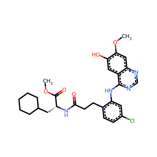 COC(=O)[C@@H](CC1CCCCC1)NC(=O)CCc1ccc(Cl)cc1Nc1ncnc2cc(OC)c(O)cc12